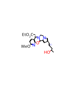 CCOC(=O)C[C@@H](c1ccc(OC)nc1)N1CCn2cc(/C=C/CC(C)O)cc2C1=O